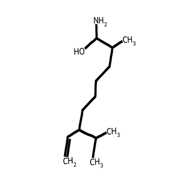 C=CC(CCCCC(C)C(N)O)C(C)C